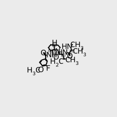 C=C(C)[C@H](NC(=O)[C@H](C)NC)C(=O)N1CC[C@H]2CC[C@H](NC(=O)c3ccc(OC)c(F)c3)[C@H]21